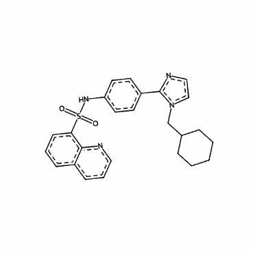 O=S(=O)(Nc1ccc(-c2nccn2CC2CCCCC2)cc1)c1cccc2cccnc12